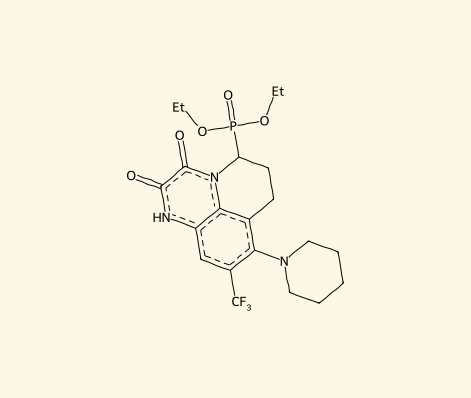 CCOP(=O)(OCC)C1CCc2c(N3CCCCC3)c(C(F)(F)F)cc3[nH]c(=O)c(=O)n1c23